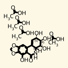 CC(=O)O.CC(=O)O.CC(=O)O.CC(=O)O.O=C1N[C@@H]2C(=C[C@H](O)[C@@H](O)[C@H]2O)c2cc3c(c(O)c21)OCO3